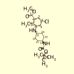 COC(=O)c1cc(Cl)cc(N[C@H]2CC[C@H](NC(=O)OC(C)(C)C)CC2)c1C